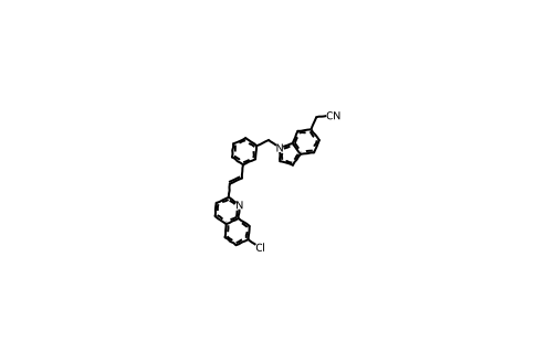 N#CCc1ccc2ccn(Cc3cccc(C=Cc4ccc5ccc(Cl)cc5n4)c3)c2c1